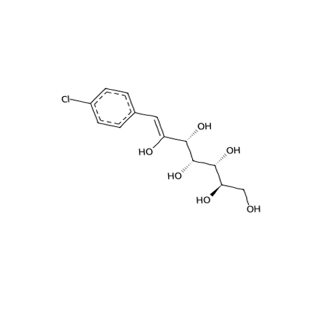 OC[C@@H](O)[C@@H](O)[C@H](O)[C@@H](O)C(O)=Cc1ccc(Cl)cc1